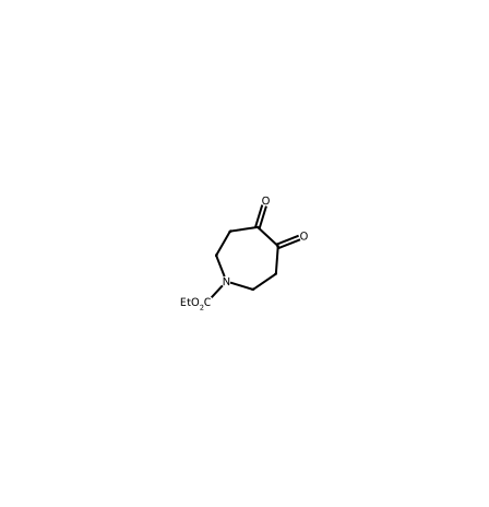 CCOC(=O)N1CCC(=O)C(=O)CC1